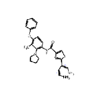 N/C=C\C(=C/N)c1nc(C(=O)Nc2ccc(Oc3ccccc3)c(C(F)(F)F)c2N2CCCC2)cs1